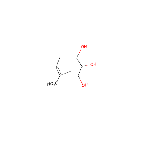 CC=C(C)C(=O)O.OCC(O)CO